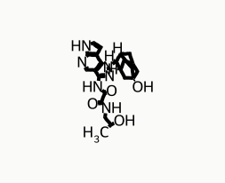 CC(O)CNC(=O)C(=O)Nc1nn([C@H]2[C@@H]3CC4C[C@H]2C[C@@](O)(C4)C3)c2c1cnc1[nH]ccc12